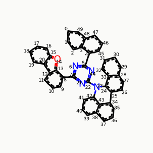 c1ccc2c(-c3nc(-c4cccc5c4oc4ccccc45)nc(N4c5c(ccc6ccccc56)-c5cccc6cccc4c56)n3)cccc2c1